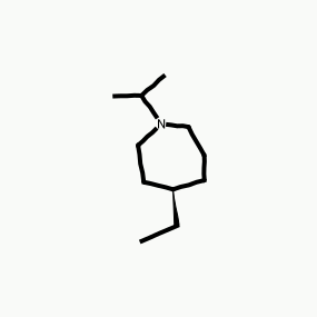 CC[C@@H]1CCCN(C(C)C)CC1